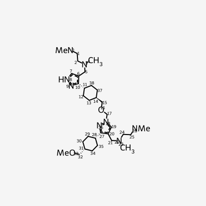 CNCCN(C)Cc1c[nH]nc1[C@H]1CC[C@H](COCn2cc(CN(C)CCNC)c([C@H]3CC[C@@H](COC)CC3)n2)CC1